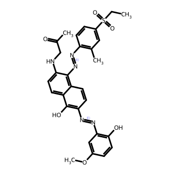 CCS(=O)(=O)c1ccc(/N=N/c2c(NCC(C)=O)ccc3c(O)c(/N=N/c4cc(OC)ccc4O)ccc23)c(C)c1